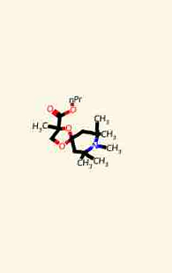 CCCOC(=O)C1(C)COC2(CC(C)(C)N(C)C(C)(C)C2)O1